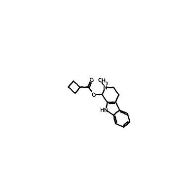 CN1CCc2c([nH]c3ccccc23)C1OC(=O)C1CCC1